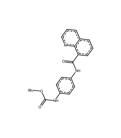 CC(C)(C)OC(=O)Nc1ccc(NC(=O)c2cccc3cccnc23)cc1